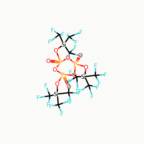 O=P1(O[Si](C(F)(F)F)(C(F)(F)F)C(F)(F)F)OP(=O)(O[Si](C(F)(F)F)(C(F)(F)F)C(F)(F)F)OP(=O)(O[Si](C(F)(F)F)(C(F)(F)F)C(F)(F)F)O1